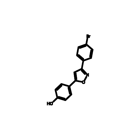 Oc1ccc(-c2cc(-c3ccc(Br)cc3)no2)cc1